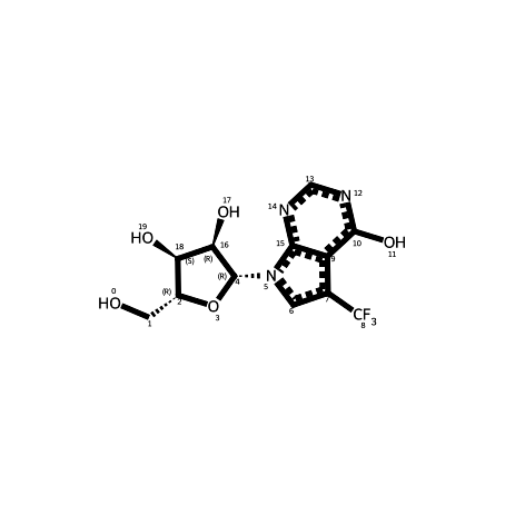 OC[C@H]1O[C@@H](n2cc(C(F)(F)F)c3c(O)ncnc32)[C@H](O)[C@@H]1O